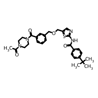 CC(=O)N1CCN(C(=O)c2cccc(COCc3cnc(NC(=O)c4ccc(C(C)(C)C)cc4)s3)c2)CC1